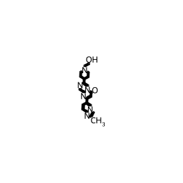 Cc1cn2cc(-c3cc(=O)n4cc(C5CCN(CCO)CC5)ncc4n3)ccc2n1